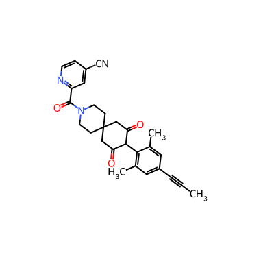 CC#Cc1cc(C)c(C2C(=O)CC3(CCN(C(=O)c4cc(C#N)ccn4)CC3)CC2=O)c(C)c1